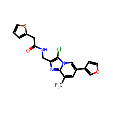 O=C(Cc1cccs1)NCc1nc2c(C(F)(F)F)cc(-c3ccoc3)cn2c1Cl